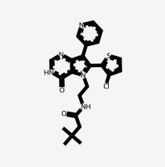 CC(C)(C)CC(=O)NCCn1c(-c2sccc2Cl)c(-c2cccnc2)c2nc[nH]c(=O)c21